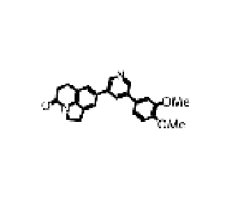 COc1ccc(-c2cncc(-c3cc4c5c(c3)CCN5C(=O)CC4)c2)cc1OC